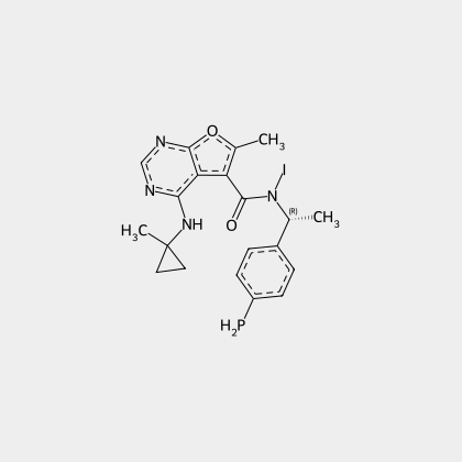 Cc1oc2ncnc(NC3(C)CC3)c2c1C(=O)N(I)[C@H](C)c1ccc(P)cc1